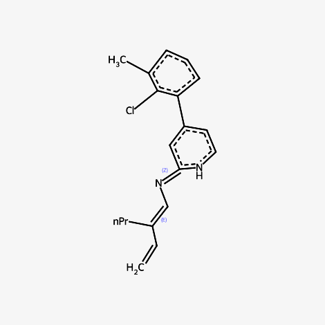 C=C/C(=C/N=c1/cc(-c2cccc(C)c2Cl)cc[nH]1)CCC